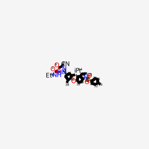 CCNC(=O)OC(=O)/C(C#N)=N\Nc1cc(C)c(Oc2ccc3c(c2)c(C(C)C)cn3S(=O)(=O)c2ccc(C)cc2)c(C)c1